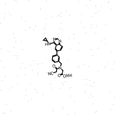 COC(=O)CN(Cc1cccc(-c2ccc3ncnc(NC4CC4)c3c2)c1)C(=O)CC#N